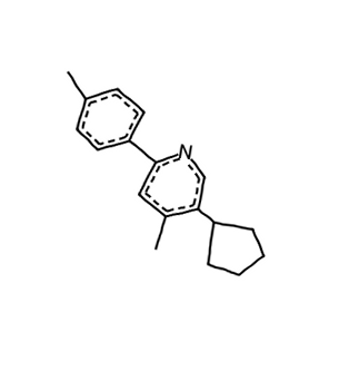 Cc1ccc(-c2cc(C)c(C3CCCC3)cn2)cc1